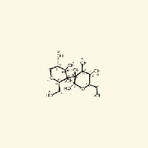 OC[C@H]1O[C@H](O)[C@](O)([C@]2(O)[C@H](O)[C@@H](O)CO[C@@H]2CO)[C@@H](O)[C@@H]1O